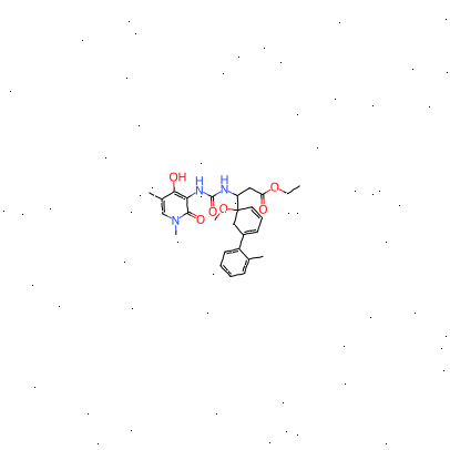 CCOC(=O)CC(NC(=O)Nc1c(O)c(C)cn(C)c1=O)C1(OC)C=CC=C(c2ccccc2C)C1